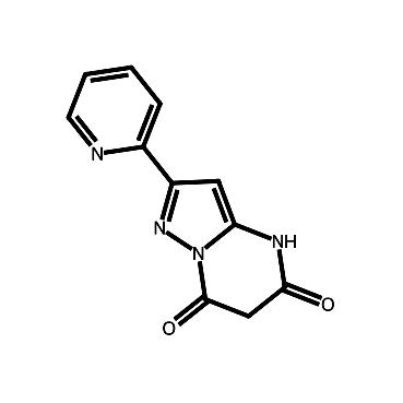 O=C1CC(=O)n2nc(-c3ccccn3)cc2N1